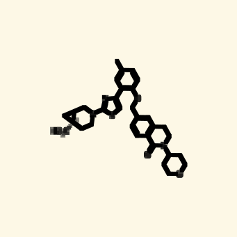 Cc1ccc(OCc2ccc3c(c2)CCN(C2CCOCC2)C3=O)c(-c2csc(N3CC[C@@]4(C(=O)O)CC4C3)n2)c1